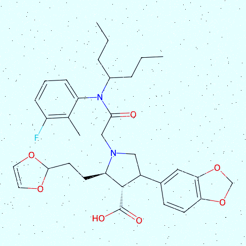 CCCC(CCC)N(C(=O)CN1CC(c2ccc3c(c2)OCO3)[C@H](C(=O)O)[C@H]1CCC1OC=CO1)c1cccc(F)c1C